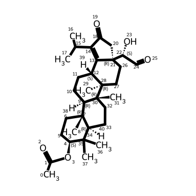 CC(=O)O[C@H]1CC[C@]2(C)[C@H]3CC[C@@H]4C5=C(C(C)C)C(=O)C[C@]5([C@H](O)C=O)CC[C@@]4(C)[C@]3(C)CC[C@H]2C1(C)C